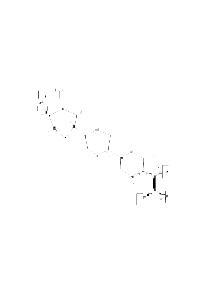 CCCOC1CCC(C2CCC(C3CCC(C(F)=C(F)F)CC3)CC2)CC1